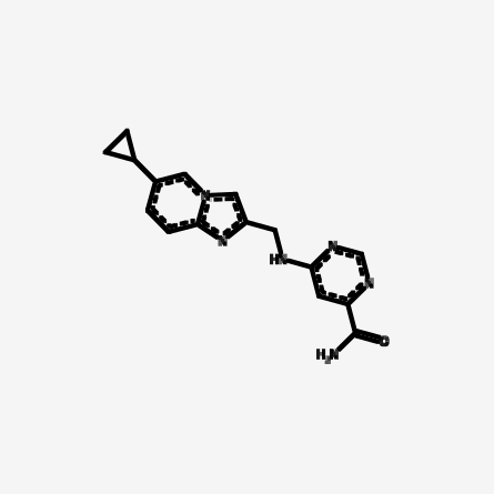 NC(=O)c1cc(NCc2cn3cc(C4CC4)ccc3n2)ncn1